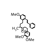 COc1ccc(C=Cc2ccccc2)c(CCC(C)N(C)CCc2ccc(OC)c(OC)c2)c1